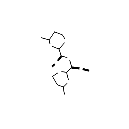 CCC1CCOC(C(=C=O)OC(=C=O)C2OCCC(CC)O2)O1